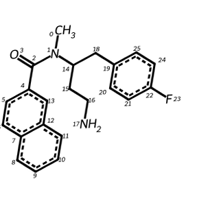 CN(C(=O)c1ccc2ccccc2c1)C(CCN)Cc1ccc(F)cc1